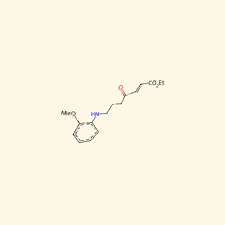 CCOC(=O)C=CC(=O)CCCNc1ccccc1OC